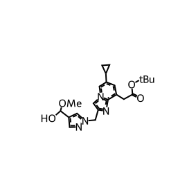 COC(O)c1cnn(Cc2cn3cc(C4CC4)cc(CC(=O)OC(C)(C)C)c3n2)c1